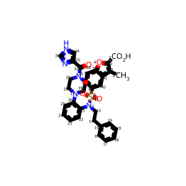 Cc1c(C(=O)O)oc2ccc(S(=O)(=O)N(CCc3ccccc3)c3ccccc3N3CCN(C(=O)c4c[nH]cn4)CC3)cc12